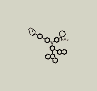 CNC1(c2ccc(N(c3ccc(-c4ccc(C5=CCC6CCC(C5)C6)cc4)cc3)c3ccc(-c4cc5ccccc5c5ccccc45)c(-c4ccc5ccccc5c4)c3)cc2)CCCCCC1